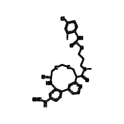 Cc1cc(Cl)ccc1NC(=O)OCCCN(C)C(=O)C1CCCCCC(=O)Nc2cc(NC=O)ccc2-c2ccnc1c2